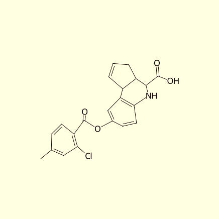 Cc1ccc(C(=O)Oc2ccc3c(c2)C2C=CCC2C(C(=O)O)N3)c(Cl)c1